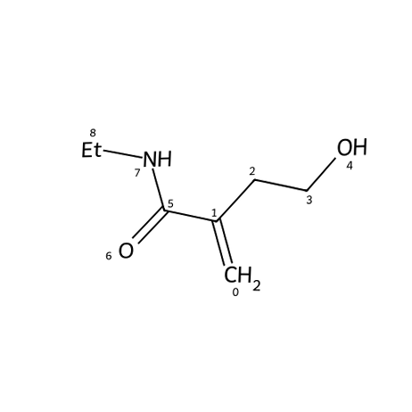 C=C(CCO)C(=O)NCC